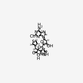 Nc1nc(Cl)nc2c1ncn2[C@H]1C[C@H](O)[C@@H](COC(Cc2ccsc2)(C(=O)O)c2nn[nH]n2)O1